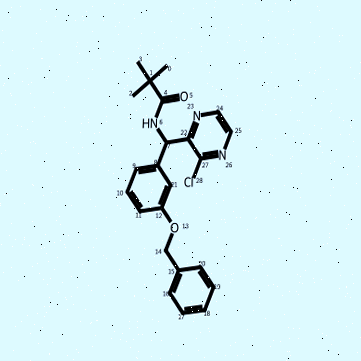 CC(C)(C)C(=O)NC(c1cccc(OCc2ccccc2)c1)c1nccnc1Cl